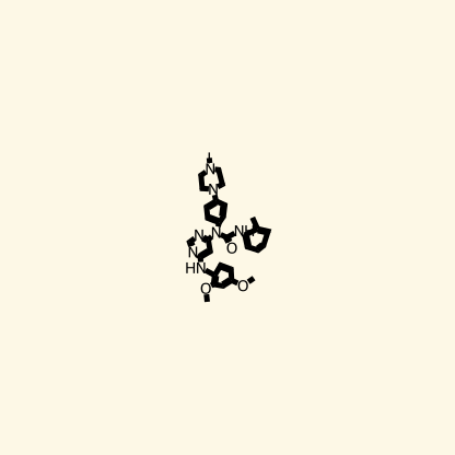 COc1ccc(Nc2cc(N(C(=O)Nc3ccccc3C)c3ccc(N4CCN(I)CC4)cc3)ncn2)c(OC)c1